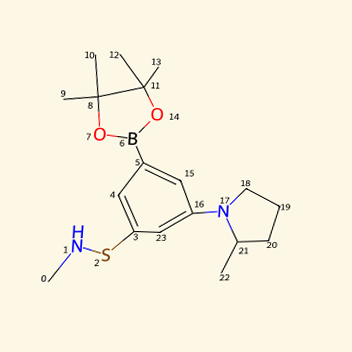 CNSc1cc(B2OC(C)(C)C(C)(C)O2)cc(N2CCCC2C)c1